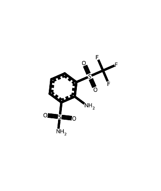 Nc1c(S(N)(=O)=O)cccc1S(=O)(=O)C(F)(F)F